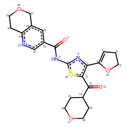 O=C(Nc1nc(C2=CCCO2)c(C(=O)C2CCOCC2)s1)c1cnc2c(c1)COCC2